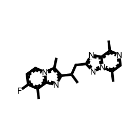 Cc1c(F)ccn2c(C)c(C(C)Cc3nc4c(C)ncc(C)n4n3)nc12